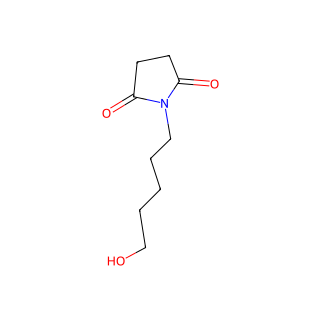 O=C1CCC(=O)N1CCCCCO